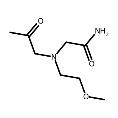 COCCN(CC(C)=O)CC(N)=O